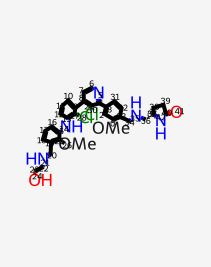 COc1cc(-c2nccc(-c3cccc(Nc4cccc(CNCCO)c4OC)c3Cl)c2Cl)ccc1CNC[C@@H]1CCC(=O)N1